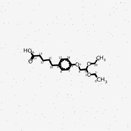 CCOC(COc1ccc(CCCCC(=O)O)cc1)OCC